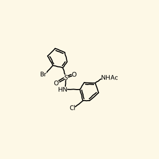 CC(=O)Nc1ccc(Cl)c(NS(=O)(=O)c2ccccc2Br)c1